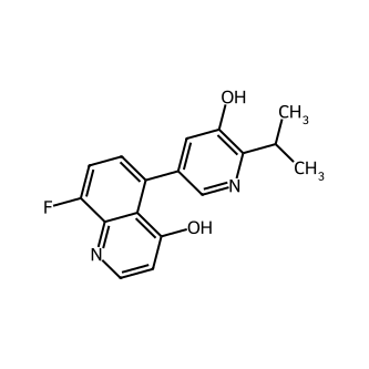 CC(C)c1ncc(-c2ccc(F)c3nccc(O)c23)cc1O